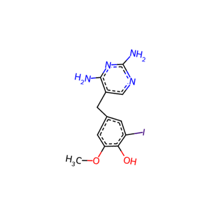 COc1cc(Cc2cnc(N)nc2N)cc(I)c1O